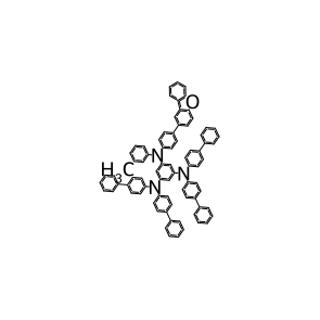 Cc1cccc(N(c2ccc(-c3ccc4oc5ccccc5c4c3)cc2)c2cc(N(c3ccc(-c4ccccc4)cc3)c3ccc(-c4ccccc4)cc3)cc(N(c3ccc(-c4ccccc4)cc3)c3ccc(-c4ccccc4)cc3)c2)c1